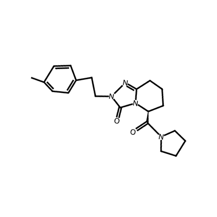 Cc1ccc(CCn2nc3n(c2=O)[C@H](C(=O)N2CCCC2)CCC3)cc1